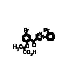 CC(Oc1ccc(Br)cc1C(=O)c1cnn(-c2ccccc2C(C)C)c1)C(=O)O